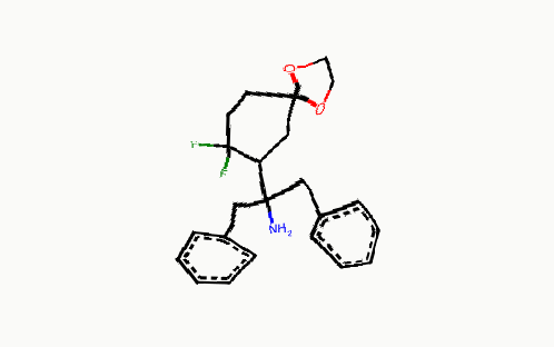 NC(Cc1ccccc1)(Cc1ccccc1)C1CC2(CCC1(F)F)OCCO2